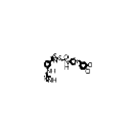 O=C(CSc1nc(-c2cccc(NCc3c[nH]cn3)c2)cs1)NC1CCN(Cc2ccc(Cl)c(Cl)c2)CC1